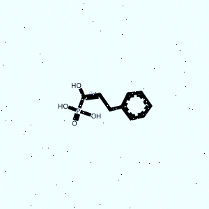 O=P(O)(O)/C(O)=C\Cc1ccccc1